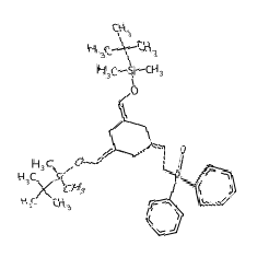 CC(C)(C)[Si](C)(C)OC=C1CC(=CCP(=O)(c2ccccc2)c2ccccc2)CC(=CO[Si](C)(C)C(C)(C)C)C1